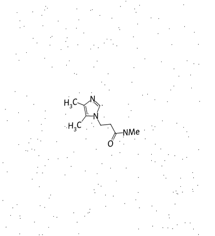 CNC(=O)CCn1[c]nc(C)c1C